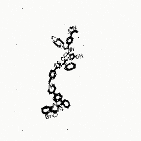 Cc1ncsc1-c1ccc([C@H](CN2CCOCC2)NC(=O)[C@@H]2C[C@@H](O)CN2C(=O)[C@H](C2CCCCC2)n2cc(-c3ccc(CN4CCC(c5ccc6c(c5)-n5c(nc(=O)c7c(Br)cccc75)C65CCCCC5)CC4)cc3)nn2)cc1